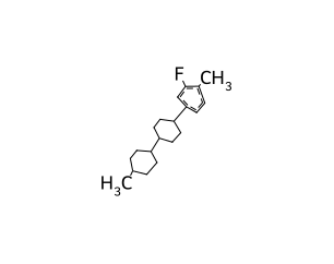 Cc1ccc(C2CCC(C3CCC(C)CC3)CC2)cc1F